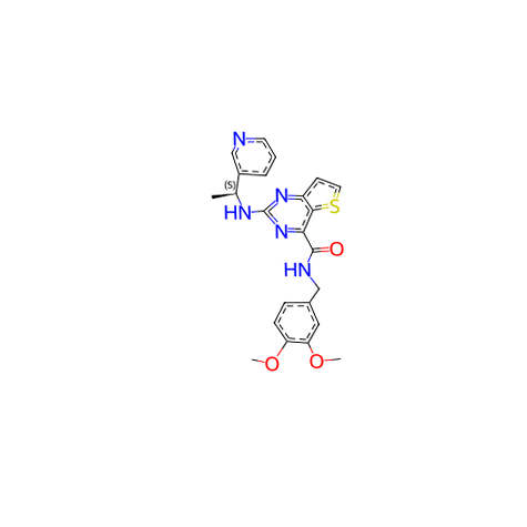 COc1ccc(CNC(=O)c2nc(N[C@@H](C)c3cccnc3)nc3ccsc23)cc1OC